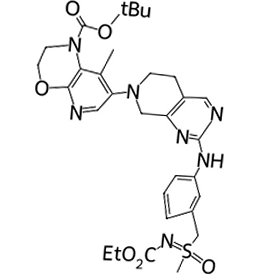 CCOC(=O)N=S(C)(=O)Cc1cccc(Nc2ncc3c(n2)CN(c2cnc4c(c2C)N(C(=O)OC(C)(C)C)CCO4)CC3)c1